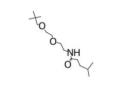 CC(C)CCC(=O)NCCOCCOCC(C)(C)C